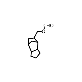 O=COCC1CC2CC1C1CCCC21